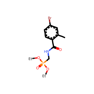 CCOP(=O)(CNC(=O)c1ccc(Br)cc1C)OCC